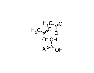 CC(=O)[O-].CC(=O)[O-].O[N](O)[Al+2]